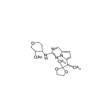 C=C(c1ccc2cnc(NC3CCOCC3OC(C)=O)nn12)C1(C)OCCO1